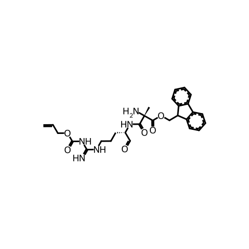 C=CCOC(=O)NC(=N)NCCC[C@@H](C=O)NC(=O)[C@](C)(N)C(=O)OCC1c2ccccc2-c2ccccc21